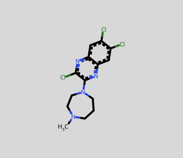 CN1CCCN(c2nc3cc(Cl)c(Cl)cc3nc2Cl)CC1